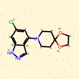 Clc1cc(N2CCC3(CC2)OCCO3)c2cn[nH]c2c1